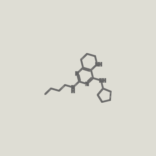 CCCCNc1nc2c(c(NC3CCCC3)n1)NCCC2